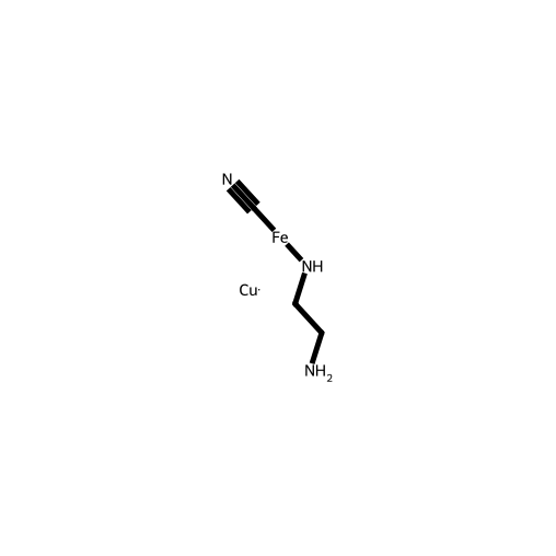 N#[C][Fe][NH]CCN.[Cu]